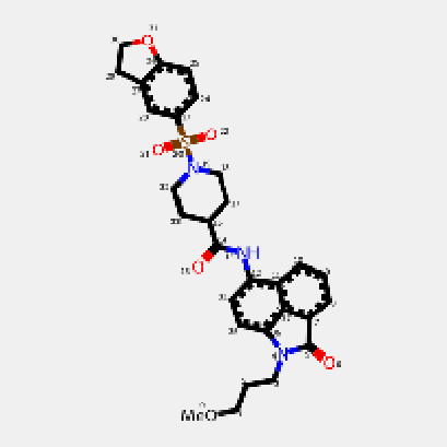 COCCCN1C(=O)c2cccc3c(NC(=O)C4CCN(S(=O)(=O)c5ccc6c(c5)CCO6)CC4)ccc1c23